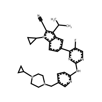 CC(C)c1c(C#N)n(C2CC2)c2ccc(-c3nc(Nc4ccc(CN5CCN(C6CC6)CC5)cn4)ncc3F)cc12